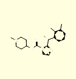 Cc1cccc([C@H](C)c2nccn2C(=O)OC2CCN(C)CC2)c1C